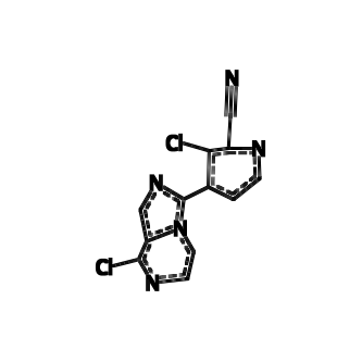 N#Cc1nccc(-c2ncc3c(Cl)nccn23)c1Cl